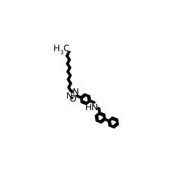 CCCCCCCCCCCc1noc(-c2ccc(CNCc3cccc(-c4ccccc4)c3)cc2)n1